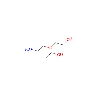 CCO.NCCOCCO